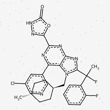 CC(F)(c1ccccc1F)c1nc2nc(-c3n[nH]c(=O)o3)nc(-c3cncc(Cl)c3)c2n1C[C@H]1CC[C@H](C)CC1